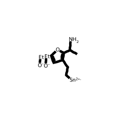 CC(N)c1occc1C[CH2][Sn+2].CC[O-].CC[O-]